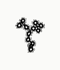 c1ccc(C2(c3ccc(N(c4ccc(-c5cccc(-c6cccc7c6oc6ccccc67)c5)cc4)c4ccc(-n5c6ccccc6c6ccccc65)cc4)cc3)c3ccccc3-c3ccccc32)cc1